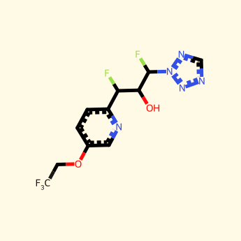 OC(C(F)c1ccc(OCC(F)(F)F)cn1)C(F)n1ncnn1